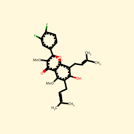 COc1c(-c2ccc(F)c(F)c2)oc2c(CC=C(C)C)c(O)c(CC=C(C)C)c(OC)c2c1=O